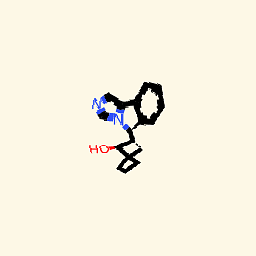 O[C@H]1[C@H]([C@@H]2c3ccccc3-c3cncn32)CC12CCC2